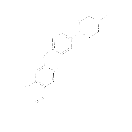 CNc1nc(Nc2ccc(N3CCN(C)CC3)cc2)ncc1/C=C/C(=O)O